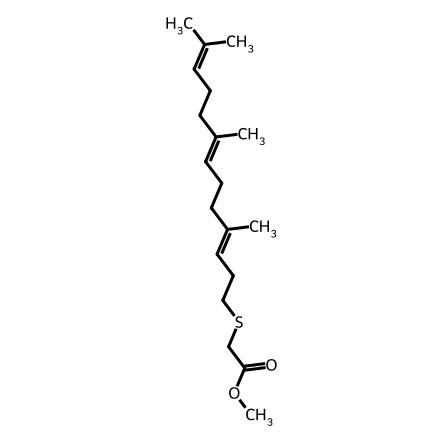 COC(=O)CSCC/C=C(\C)CC/C=C(\C)CCC=C(C)C